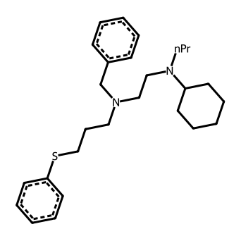 CCCN(CCN(CCCSc1ccccc1)Cc1ccccc1)C1CCCCC1